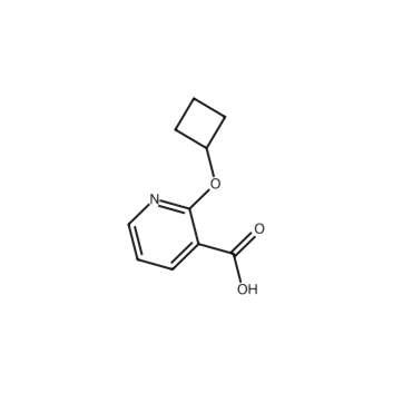 O=C(O)c1cccnc1OC1CCC1